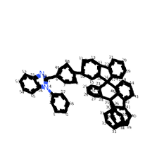 c1ccc(-n2c(-c3ccc(-c4ccc5c(c4)C4(c6ccccc6-5)c5ccccc5C5(c6ccccc6)c6ccccc6-c6cccc4c65)cc3)nc3ccccc32)cc1